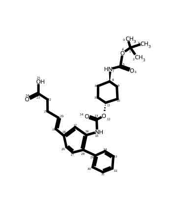 CC(C)(C)OC(=O)N[C@H]1CC[C@H](OC(=O)Nc2cc(C=CCCC(=O)O)ccc2-c2ccccc2)CC1